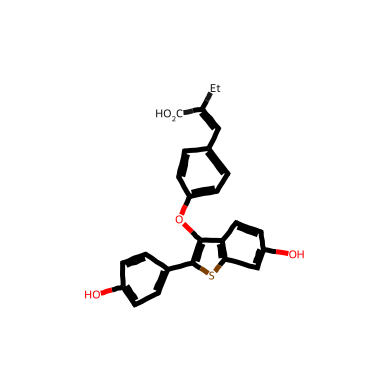 CCC(=Cc1ccc(Oc2c(-c3ccc(O)cc3)sc3cc(O)ccc23)cc1)C(=O)O